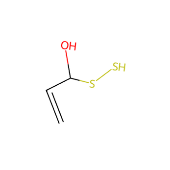 C=CC(O)SS